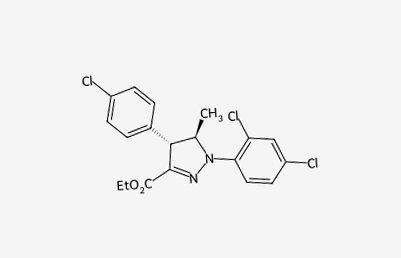 CCOC(=O)C1=NN(c2ccc(Cl)cc2Cl)[C@H](C)[C@H]1c1ccc(Cl)cc1